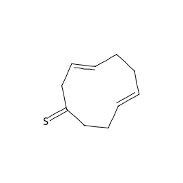 S=C1C/C=C/CC/C=C/CC1